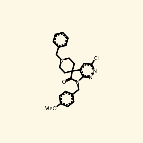 COc1ccc(CN2C(=O)C3(CCN(Cc4ccccc4)CC3)c3cc(Cl)nnc32)cc1